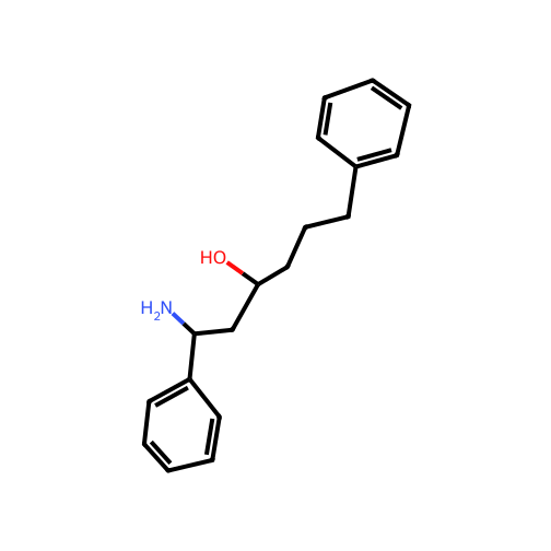 NC(CC(O)CCCc1ccccc1)c1ccccc1